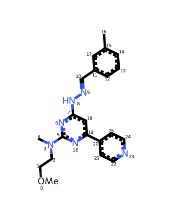 COCCN(C)c1nc(NN=Cc2cccc(C)c2)cc(-c2ccncc2)n1